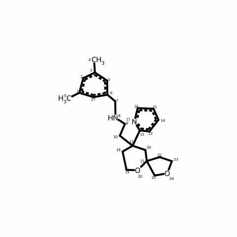 Cc1cc(C)cc(CNCCC2(c3ccccn3)CCOC3(CCOC3)C2)c1